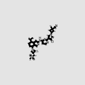 CC(C)c1ccc(N2C[C@H](CS(C)(=O)=O)[C@H]2C)c2cnc(Nc3ccnc(-c4cn(C5CC(C)(C#N)C5)nc4Cl)n3)cc12